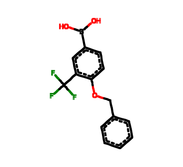 OB(O)c1ccc(OCc2ccccc2)c(C(F)(F)F)c1